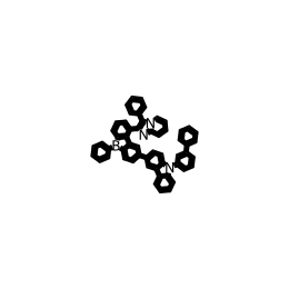 c1ccc(B2c3ccc(-c4ccc5c(c4)c4ccccc4n5-c4cccc(-c5ccccc5)c4)cc3-c3c2cccc3-c2nc3ccccn3c2-c2ccccc2)cc1